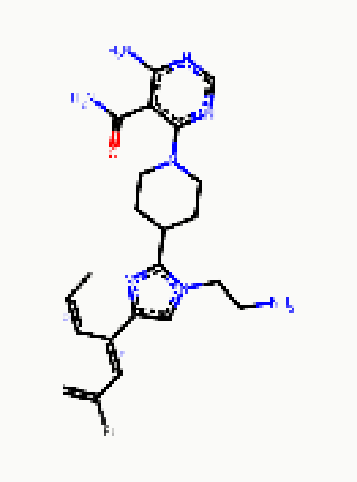 C=C(/C=C(\C=C/C)c1cn(CCN)c(C2CCN(c3ncnc(N)c3C(N)=O)CC2)n1)CC